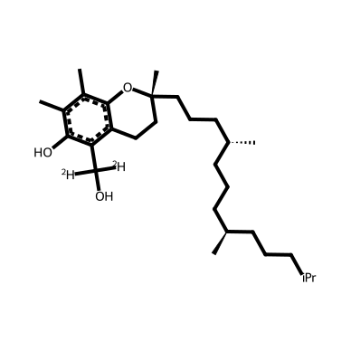 [2H]C([2H])(O)c1c(O)c(C)c(C)c2c1CC[C@@](C)(CCC[C@H](C)CCC[C@H](C)CCCC(C)C)O2